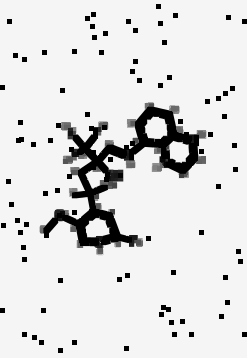 COc1ccc(F)cc1C(C)(C)CC(O)(C=Nc1cccc2nccnc12)C(F)(F)F